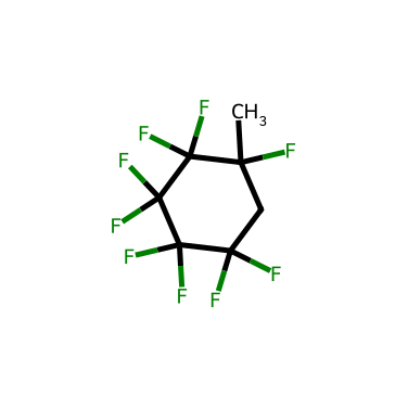 CC1(F)CC(F)(F)C(F)(F)C(F)(F)C1(F)F